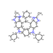 Cc1nc2cc3c4c5c2n1-c1cccc2c1B5c1c5c6c4c(ccc6n(-c4ccccc4)c5cc4nc(C)n-2c14)n3-c1ccccc1